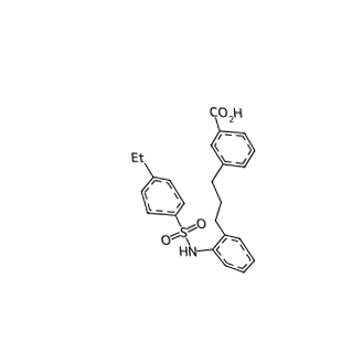 CCc1ccc(S(=O)(=O)Nc2ccccc2CCCc2cccc(C(=O)O)c2)cc1